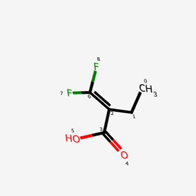 CCC(C(=O)O)=C(F)F